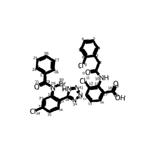 O=C(Cc1ccccc1Cl)Nc1c(Cl)cccc1C(=O)O.O=C(c1ccccc1)N(Br)c1cc(Cl)ccc1-c1nnn[nH]1